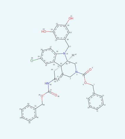 C=C1CN(C(=O)OCc2ccccc2)C[C@@H]2N(Cc3cc(O)cc(O)c3)c3ccc(Cl)cc3[C@]12CCNC(=O)OCc1ccccc1